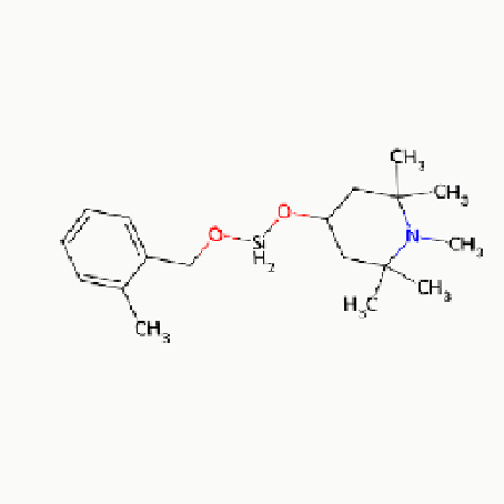 Cc1ccccc1CO[SiH2]OC1CC(C)(C)N(C)C(C)(C)C1